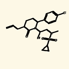 C=CCC1CCC(c2ccc(Cl)cc2)N(C(CC)CN(C)S(=O)(=O)C2CC2)C1=O